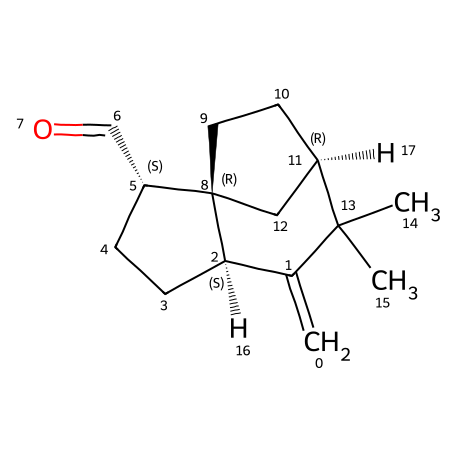 C=C1[C@H]2CC[C@H](C=O)[C@@]23CC[C@H](C3)C1(C)C